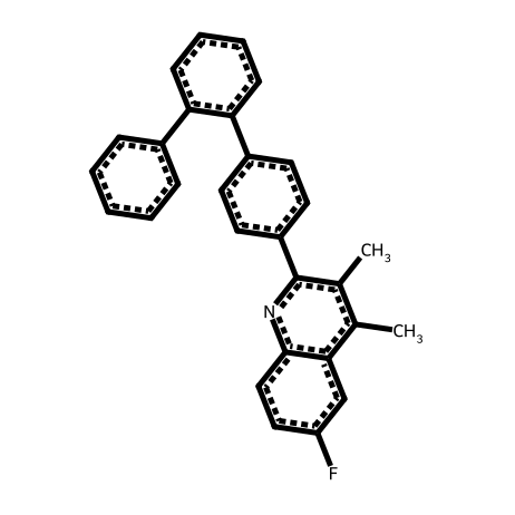 Cc1c(-c2ccc(-c3ccccc3-c3ccccc3)cc2)nc2ccc(F)cc2c1C